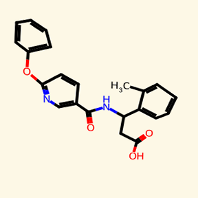 Cc1ccccc1C(CC(=O)O)NC(=O)c1ccc(Oc2ccccc2)nc1